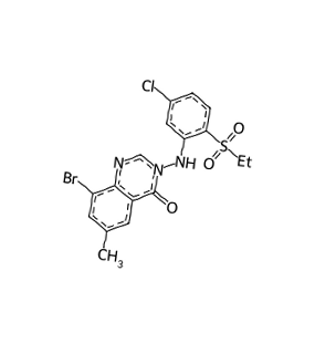 CCS(=O)(=O)c1ccc(Cl)cc1Nn1cnc2c(Br)cc(C)cc2c1=O